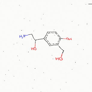 NCC(O)c1ccc(O)c(CO)c1